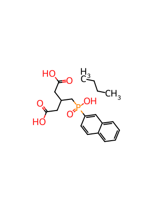 CCCC.O=C(O)CC(CC(=O)O)CP(=O)(O)c1ccc2ccccc2c1